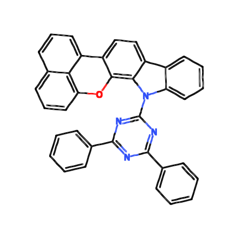 c1ccc(-c2nc(-c3ccccc3)nc(-n3c4ccccc4c4ccc5c(c43)Oc3cccc4cccc-5c34)n2)cc1